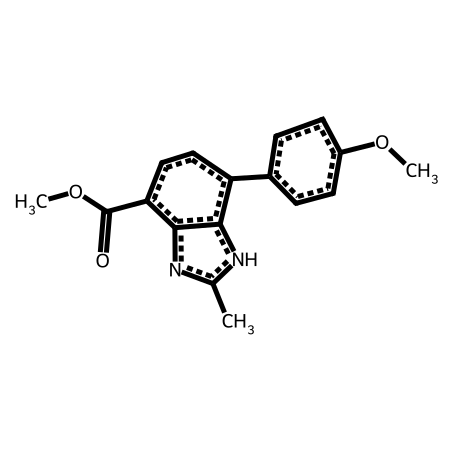 COC(=O)c1ccc(-c2ccc(OC)cc2)c2[nH]c(C)nc12